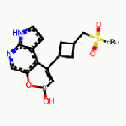 CCCCS(=O)(=O)CC1CC(C2=CB(O)Oc3cnc4[nH]ccc4c32)C1